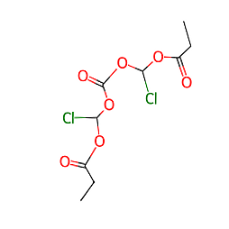 CCC(=O)OC(Cl)OC(=O)OC(Cl)OC(=O)CC